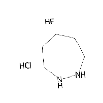 C1CCNNCC1.Cl.F